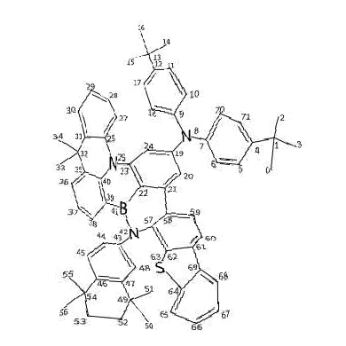 CC(C)(C)c1ccc(N(c2ccc(C(C)(C)C)cc2)c2cc3c4c(c2)N2c5ccccc5C(C)(C)c5cccc(c52)B4N(c2ccc4c(c2)C(C)(C)CCC4(C)C)c2c-3ccc3c2sc2ccccc23)cc1